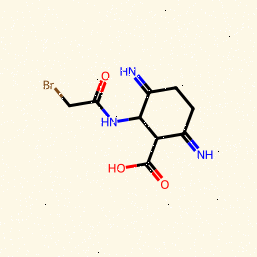 N=C1CCC(=N)C(C(=O)O)C1NC(=O)CBr